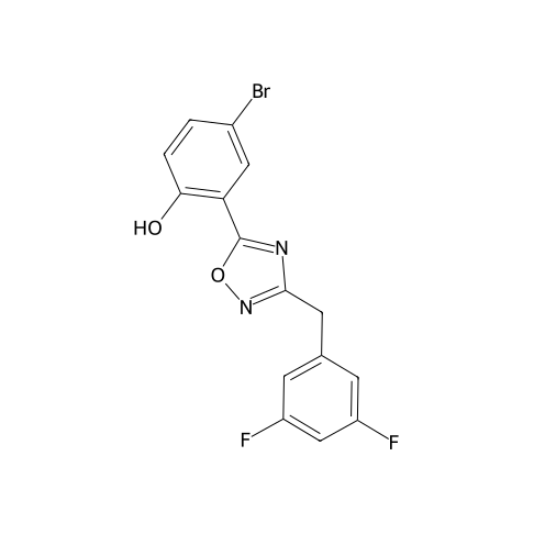 Oc1ccc(Br)cc1-c1nc(Cc2cc(F)cc(F)c2)no1